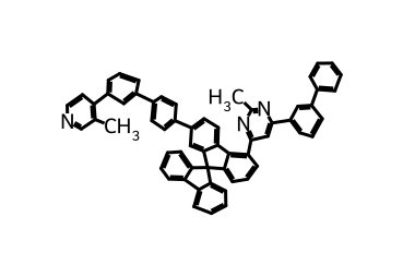 Cc1nc(-c2cccc(-c3ccccc3)c2)cc(-c2cccc3c2-c2ccc(-c4ccc(-c5cccc(-c6ccncc6C)c5)cc4)cc2C32c3ccccc3-c3ccccc32)n1